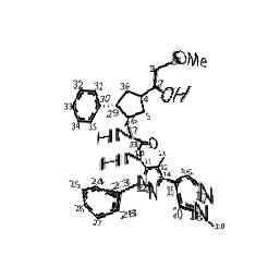 COCC(O)C1C[C@@H](NC(=O)Nc2c(C)c(-c3cnn(C)c3)nn2-c2ccccc2)[C@H](c2ccccc2)C1